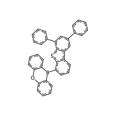 c1ccc(-c2cc(-c3ccccc3)c3sc4c(B5c6ccccc6Oc6ccccc65)cccc4c3c2)cc1